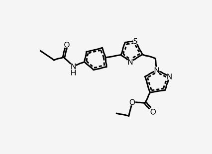 CCOC(=O)c1cnn(Cc2nc(-c3ccc(NC(=O)CC)cc3)cs2)c1